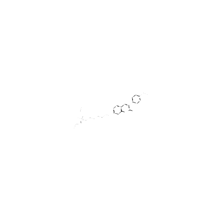 CCO[Si](C)(CCCCCCOc1ccc2cc(-c3ccc(CC)cc3)c(=O)oc2c1)OCC